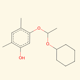 Cc1cc(C)c(OC(C)OC2CCCCC2)cc1O